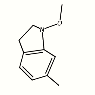 CON1CCc2ccc(C)cc21